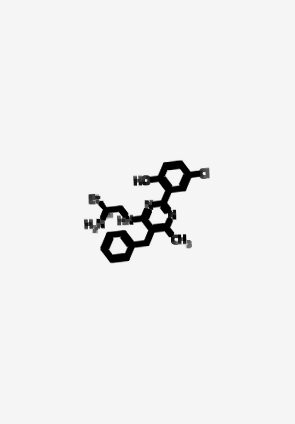 CC[C@H](N)CNc1nc(-c2cc(Cl)ccc2O)nc(C)c1Cc1ccccc1